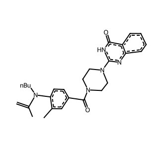 C=C(C)N(CCCC)c1ccc(C(=O)N2CCN(c3nc4ccccc4c(=O)[nH]3)CC2)cc1C